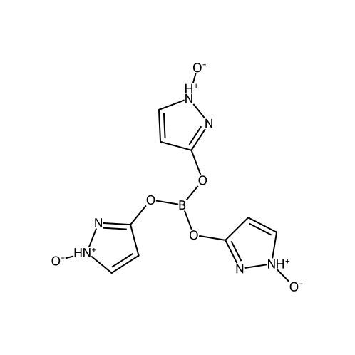 [O-][NH+]1C=CC(OB(OC2=N[NH+]([O-])C=C2)OC2=N[NH+]([O-])C=C2)=N1